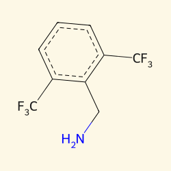 NCc1c(C(F)(F)F)cccc1C(F)(F)F